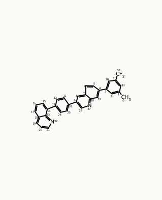 Cc1cc(-c2ccc3cc(-c4ccc(-c5cccc6cccnc56)cc4)cnc3c2)cc(C(F)(F)F)c1